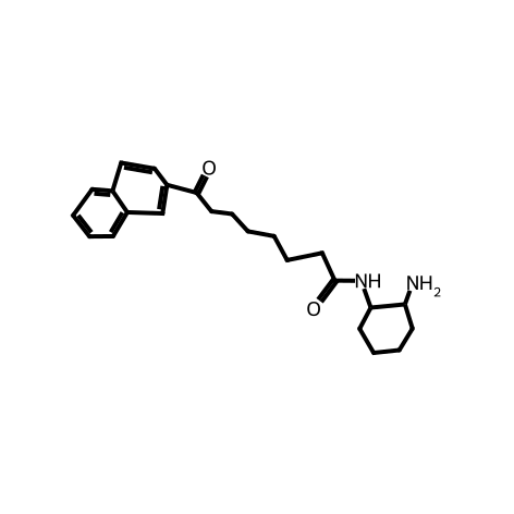 NC1CCCCC1NC(=O)CCCCCCC(=O)c1ccc2ccccc2c1